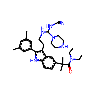 CCN(CC)C(=O)C(C)(C)c1ccc2[nH]c(-c3cc(C)cc(C)c3)c(CCNC(NC#N)N3CCNCC3)c2c1